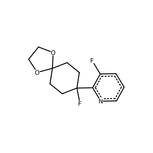 Fc1cccnc1C1(F)CCC2(CC1)OCCO2